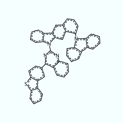 c1cc(-n2c3ccccc3c3ccccc32)c2cc3c(cc2c1)c1ccccc1n3-c1nc(-c2ccc3sc4ccccc4c3c2)c2ccccc2n1